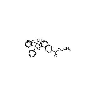 CCOC(=O)C1=Cc2cccc(O[Si](c3ccccc3)(c3ccccc3)C(C)(C)C)c2CC1